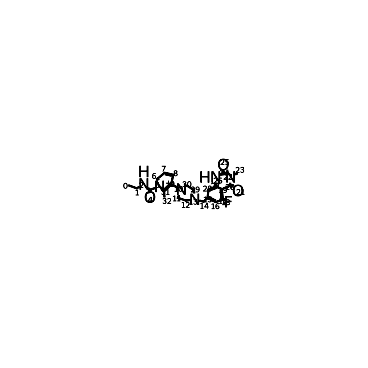 CCNC(=O)[n+]1cccc(N2CCN(Cc3cc(F)c4c(=O)n(C)c(=O)[nH]c4c3)CC2)c1C